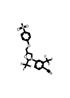 CS(=O)(=O)c1ccc(OCC2CN(c3ccc(C#N)c(C(F)(F)F)c3)C(C(F)(F)F)O2)cc1